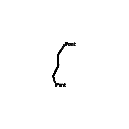 [CH2]CCC(C)CCCC(C)C[CH]C